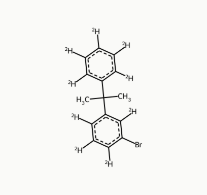 [2H]c1c([2H])c([2H])c(C(C)(C)c2c([2H])c([2H])c([2H])c(Br)c2[2H])c([2H])c1[2H]